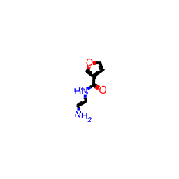 NCCNC(=O)c1ccoc1